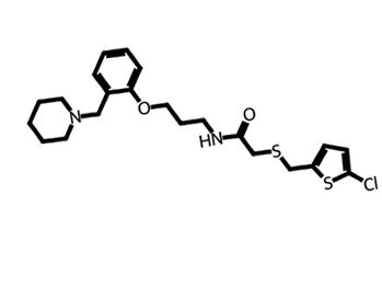 O=C(CSCc1ccc(Cl)s1)NCCCOc1ccccc1CN1CCCCC1